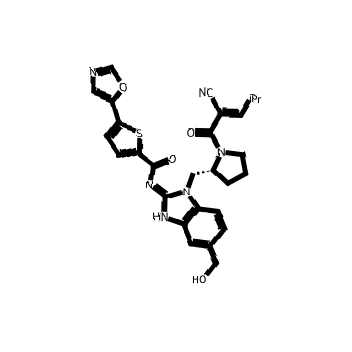 CC(C)C=C(C#N)C(=O)N1CCC[C@@H]1Cn1c(=NC(=O)c2ccc(-c3cnco3)s2)[nH]c2cc(CO)ccc21